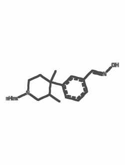 CCCCCCN1CCC(C)(c2cccc(C=NO)c2)C(C)C1